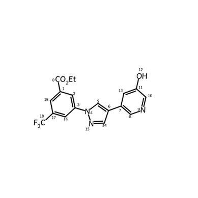 CCOC(=O)c1cc(-n2cc(-c3cncc(O)c3)cn2)cc(C(F)(F)F)c1